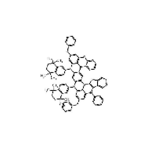 CC1(C)CCC(C)(C)c2cc(N3c4cc5c(cc4B4c6ccccc6Oc6cc(Oc7ccccc7)cc3c64)B3c4sc6ccccc6c4N(c4ccccc4)c4cc(Oc6ccccc6)cc(c43)N5c3ccc4c(c3)C(C)(C)CCC4(C)C)ccc21